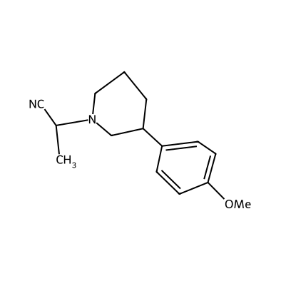 COc1ccc(C2CCCN(C(C)C#N)C2)cc1